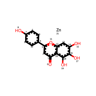 O=c1cc(-c2ccc(O)cc2)oc2cc(O)c(O)c(O)c12.[Zn]